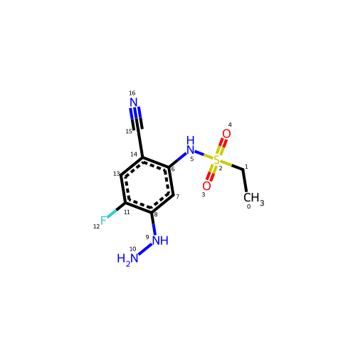 CCS(=O)(=O)Nc1cc(NN)c(F)cc1C#N